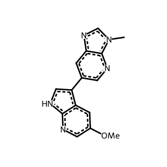 COc1cnc2[nH]cc(-c3cnc4c(c3)ncn4C)c2c1